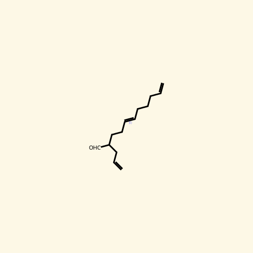 C=CCCC/C=C/CCC(C=O)CC=C